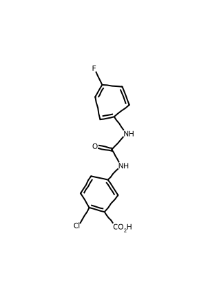 O=C(Nc1ccc(F)cc1)Nc1ccc(Cl)c(C(=O)O)c1